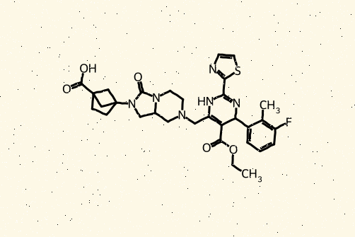 CCOC(=O)C1=C(CN2CCN3C(=O)N(C45CCC(C(=O)O)(C4)C5)CC3C2)NC(c2nccs2)=NC1c1cccc(F)c1C